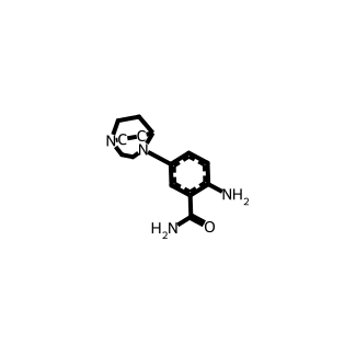 NC(=O)c1cc(N2CCN3CCC2CC3)ccc1N